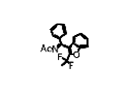 CC(=O)N=C(c1ccccc1)c1c(C(C)(F)F)oc2ccccc12